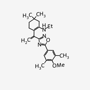 C=C(C1=C(NCC)CC(C)(C)CC1)c1noc(-c2cc(C)c(OC)c(C)c2)n1